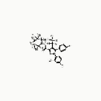 [2H]C([2H])([2H])C([2H])([2H])c1c(C(=O)NN2C([2H])([2H])C([2H])([2H])C([2H])([2H])C([2H])([2H])C2([2H])[2H])nn(-c2ccc(Cl)cc2Cl)c1-c1ccc(Br)cc1